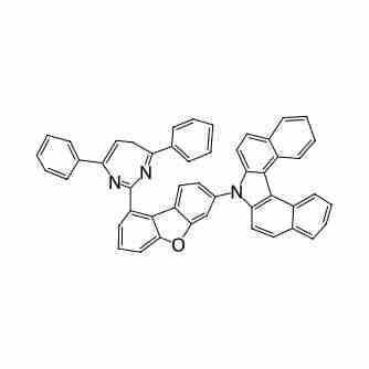 C1=C(c2ccccc2)N=C(c2cccc3oc4cc(-n5c6ccc7ccccc7c6c6c7ccccc7ccc65)ccc4c23)N=C(c2ccccc2)C1